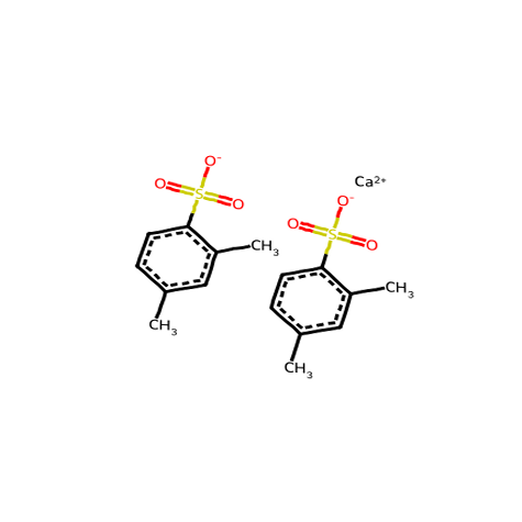 Cc1ccc(S(=O)(=O)[O-])c(C)c1.Cc1ccc(S(=O)(=O)[O-])c(C)c1.[Ca+2]